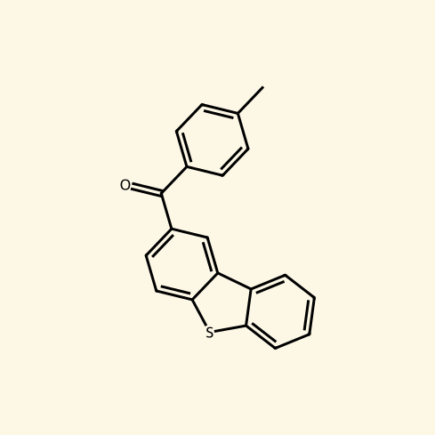 Cc1ccc(C(=O)c2ccc3sc4ccccc4c3c2)cc1